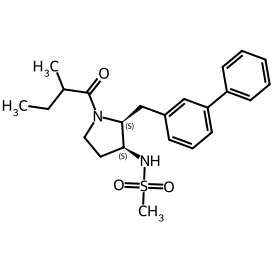 CCC(C)C(=O)N1CC[C@H](NS(C)(=O)=O)[C@@H]1Cc1cccc(-c2ccccc2)c1